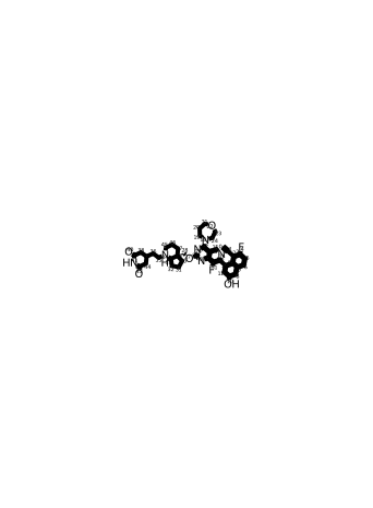 C#Cc1c(F)ccc2cc(O)cc(-c3ncc4c(N5CCCOCC5)nc(OC[C@]56CCC[C@H]5N(CCC5CC(=O)NC(=O)C5)CCC6)nc4c3F)c12